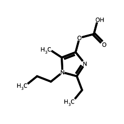 CCCn1c(CC)nc(OC(=O)O)c1C